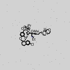 CC/C=C/[C@](C#CCCN1CCN2CCOC[C@@H]2C1)(OC)[C@@H]1CC[C@H]1CN1C[C@@]2(CCCc3cc(Cl)ccc32)COc2ccc(C(=O)NS(=O)(=O)C(C)C)cc21